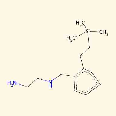 C[Si](C)(C)CCc1ccccc1CNCCN